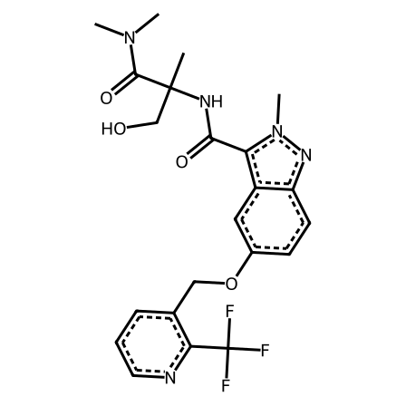 CN(C)C(=O)C(C)(CO)NC(=O)c1c2cc(OCc3cccnc3C(F)(F)F)ccc2nn1C